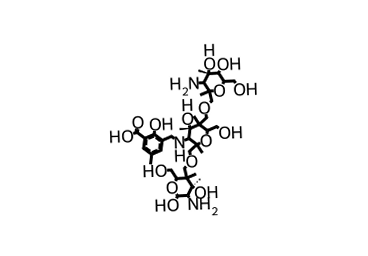 Cc1cc(CNC2C(C)(COCC3(C)C(CO)OC(O)C(N)[C@]3(C)O)OC(CO)C(C)(COCC3(C)OC(CO)C(O)[C@@](C)(O)C3N)[C@@]2(C)O)c(O)c(C(=O)O)c1